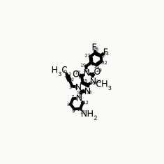 CC#CCn1c(N2CCC[C@@H](N)C2)nc2c1c(=O)n(Cc1ccc(F)c(F)c1)c(=O)n2C